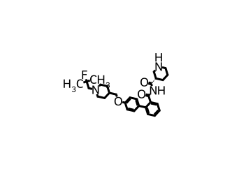 CC(C)(F)CN1CCC(COc2ccc(-c3ccccc3C(=O)NC(=O)[C@H]3CCCNC3)cc2)CC1